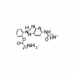 CNCC(=O)Nc1ccc(/N=N/c2ccccc2OC(=O)[C@H](C)N)c(N)n1